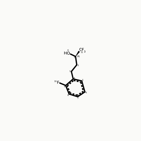 O[C@H](CCc1ccccc1F)C(F)(F)F